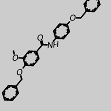 COc1cc(C(=O)Nc2ccc(OCc3ccccc3)cc2)ccc1OCc1ccccc1